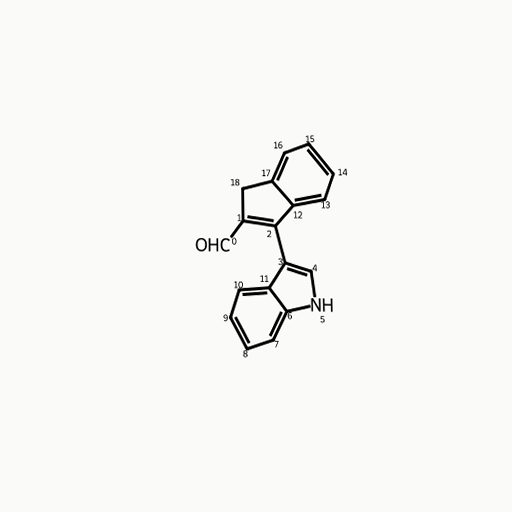 O=CC1=C(c2c[nH]c3ccccc23)c2ccccc2C1